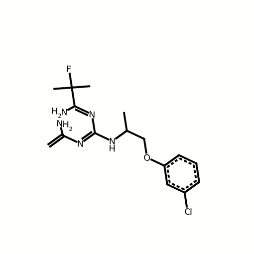 C=C(N)/N=C(\N=C(/N)C(C)(C)F)NC(C)COc1cccc(Cl)c1